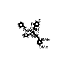 COc1ccc(CNC(=O)c2nc([C@H]3CCCN3C(=O)OCc3ccccc3)sc2NC(=O)c2ccc(F)cc2F)c(OC)c1